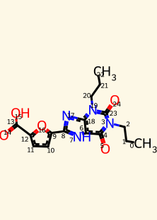 CCCn1c(=O)c2[nH]c(-c3ccc(C(=O)O)o3)nc2n(CCC)c1=O